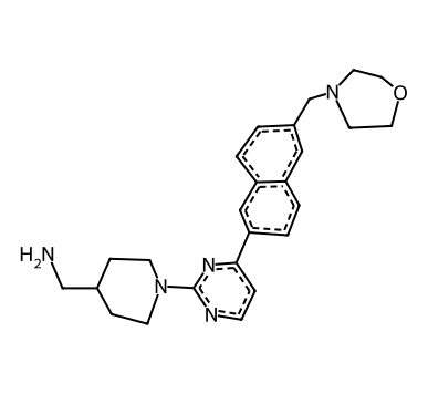 NCC1CCN(c2nccc(-c3ccc4cc(CN5CCOCC5)ccc4c3)n2)CC1